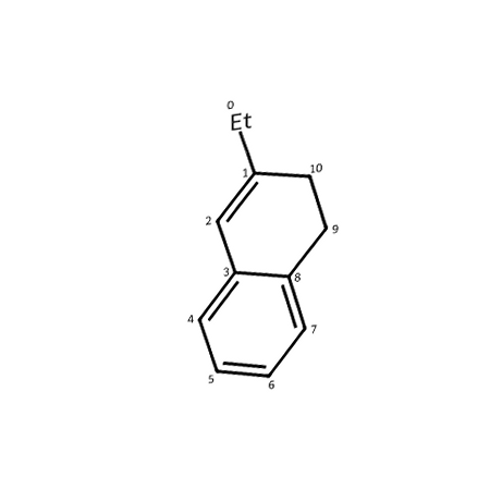 [CH2]CC1=Cc2ccccc2CC1